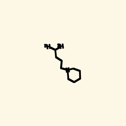 [2H]C([2H])CCCN1CCCCC1